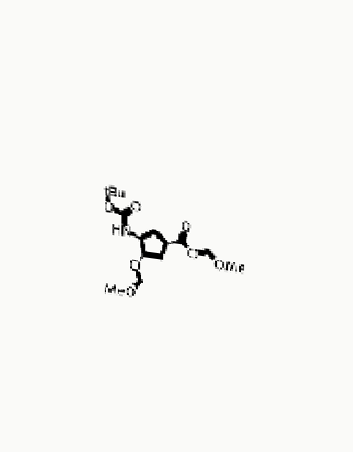 COCOC(=O)[C@@H]1C[C@H](NC(=O)OC(C)(C)C)[C@@H](OCOC)C1